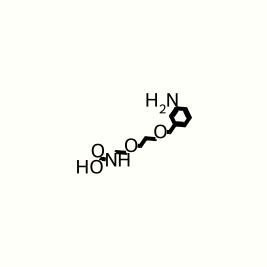 Nc1cccc(COCCCOCCNC(=O)O)c1